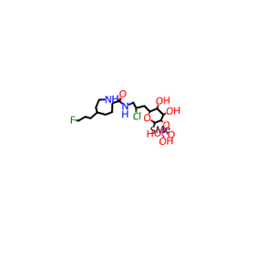 CSC1OC(CC(Cl)CNC(=O)C2CCC(CCCF)CCN2)C(O)C(O)C1OP(=O)(O)O